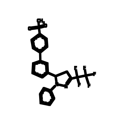 CS(=O)(=O)c1ccc(-c2cccc(C3CC(C(F)(F)C(F)(F)F)=NN3c3ccccc3)c2)cc1